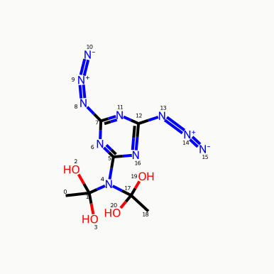 CC(O)(O)N(c1nc(N=[N+]=[N-])nc(N=[N+]=[N-])n1)C(C)(O)O